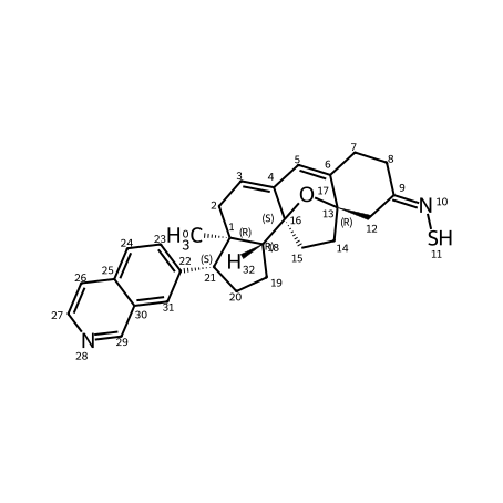 C[C@]12CC=C3C=C4CCC(=NS)C[C@]45CC[C@]3(O5)[C@@H]1CC[C@@H]2c1ccc2ccncc2c1